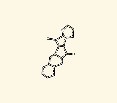 O=c1c2c3ccccc3c(=O)c=2c2cc3ccccc3cc12